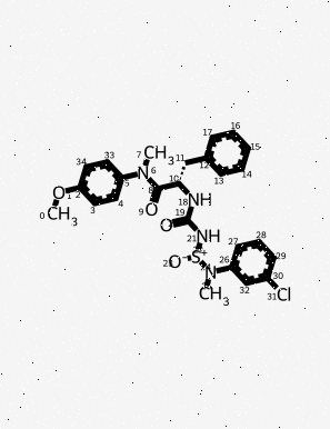 COc1ccc(N(C)C(=O)[C@H](Cc2ccccc2)NC(=O)N[S+]([O-])N(C)c2cccc(Cl)c2)cc1